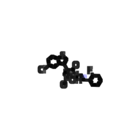 O=C(N/C=C/c1ccccc1F)C(C[PH](=O)O)c1csc2ccc(Cl)cc12